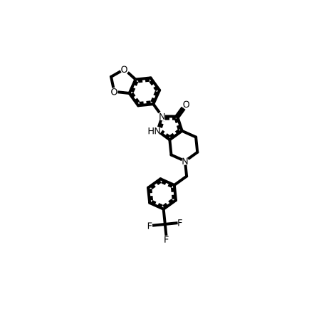 O=c1c2c([nH]n1-c1ccc3c(c1)OCO3)CN(Cc1cccc(C(F)(F)F)c1)CC2